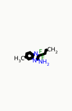 C=CCC(F)(F)c1nc2ccc(C)cc2nc1N